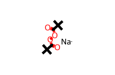 CC(C)(C)C(=O)OOC(=O)C(C)(C)C.[Na]